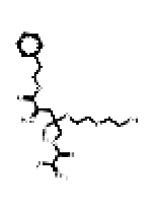 C=C(C)C(=O)OCC(CC(=C)C(=O)OCCc1ccccc1)(OCC)OCCOCCO